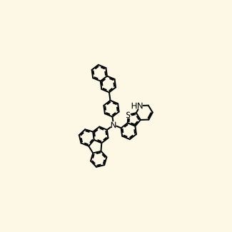 C1=Cc2c(sc3c(N(c4ccc(-c5ccc6ccccc6c5)cc4)c4cc5c6c(cccc6c4)-c4ccccc4-5)cccc23)NC1